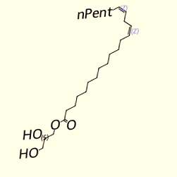 CCCCC/C=C\C/C=C\CCCCCCCCCCCC(=O)OC[C@@H](O)CO